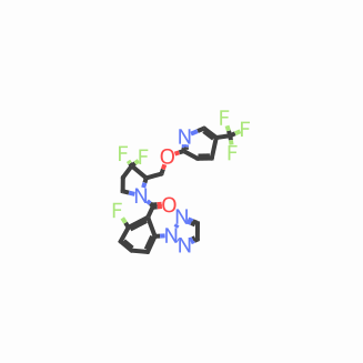 O=C(c1c(F)cccc1-n1nccn1)N1CCC(F)(F)C1COc1ccc(C(F)(F)F)cn1